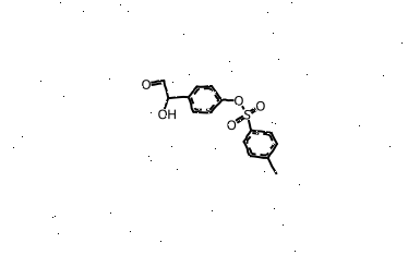 Cc1ccc(S(=O)(=O)Oc2ccc(C(O)C=O)cc2)cc1